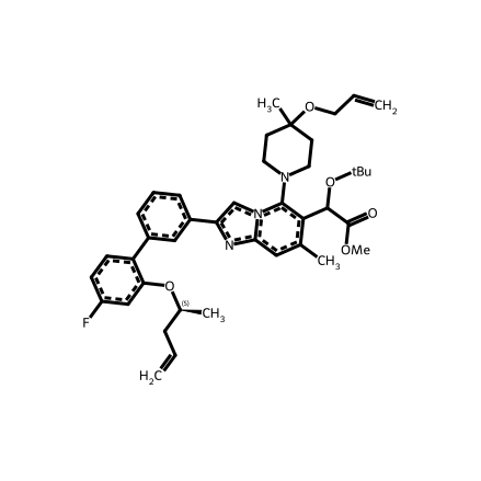 C=CCOC1(C)CCN(c2c(C(OC(C)(C)C)C(=O)OC)c(C)cc3nc(-c4cccc(-c5ccc(F)cc5O[C@@H](C)CC=C)c4)cn23)CC1